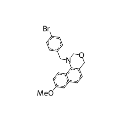 COc1ccc2c3c(ccc2c1)COCN3Cc1ccc(Br)cc1